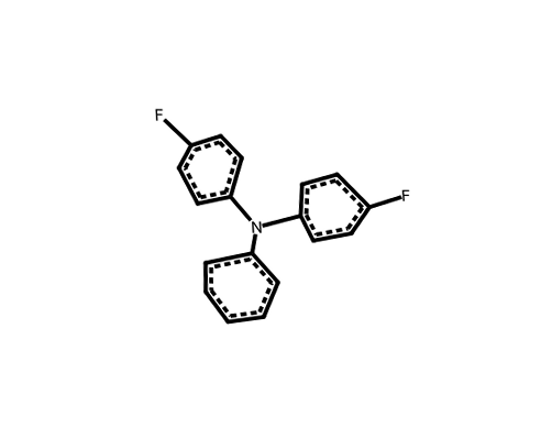 Fc1ccc(N(c2ccccc2)c2ccc(F)cc2)cc1